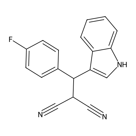 N#CC(C#N)C(c1ccc(F)cc1)c1c[nH]c2ccccc12